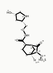 O=C(NOC[C@@H]1C[C@H](O)CN1)[C@@H]1CC[C@H]2CN1C(=O)N2OS(=O)(=O)O